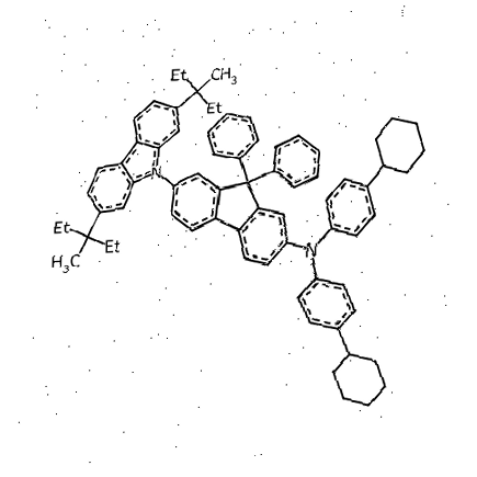 CCC(C)(CC)c1ccc2c3ccc(C(C)(CC)CC)cc3n(-c3ccc4c(c3)C(c3ccccc3)(c3ccccc3)c3cc(N(c5ccc(C6CCCCC6)cc5)c5ccc(C6CCCCC6)cc5)ccc3-4)c2c1